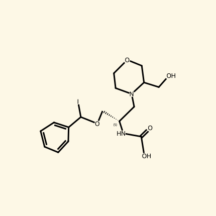 O=C(O)N[C@H](COC(I)c1ccccc1)CN1CCOCC1CO